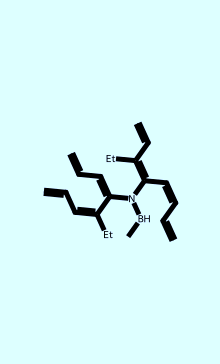 C=C/C=C\C(=C(/C=C)CC)N(BC)C(=C/C=C)/C(=C\C=C)CC